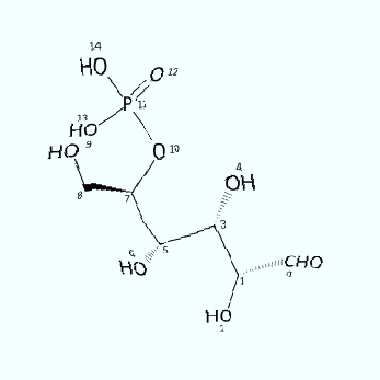 O=C[C@H](O)[C@@H](O)[C@H](O)[C@@H](CO)OP(=O)(O)O